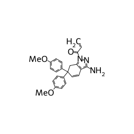 C=CC(=O)n1nc(N)c2c1CC(c1ccc(OC)cc1)(c1ccc(OC)cc1)C=C2